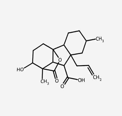 C=CCC12CC(C)CCC1C13CCC(O)C(C)(C(=O)O1)C3C2C(=O)O